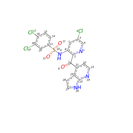 O=C(c1ncc(Cl)cc1NS(=O)(=O)c1ccc(Cl)c(Cl)c1)c1ccnc2[nH]ccc12